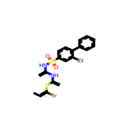 C=C(NC(=C)S/C(Br)=C\C)NS(=O)(=O)c1ccc(-c2ccccc2)c(CC)c1